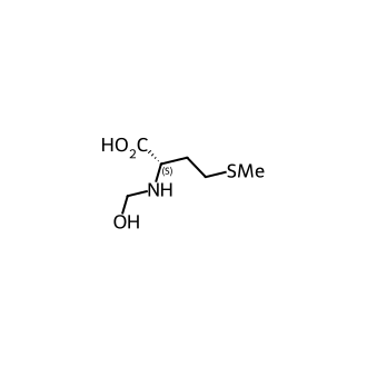 CSCC[C@H](NCO)C(=O)O